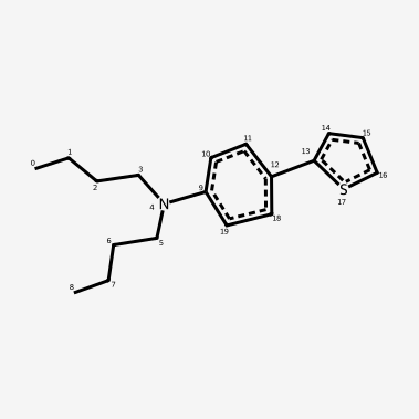 CCCCN(CCCC)c1ccc(-c2cccs2)cc1